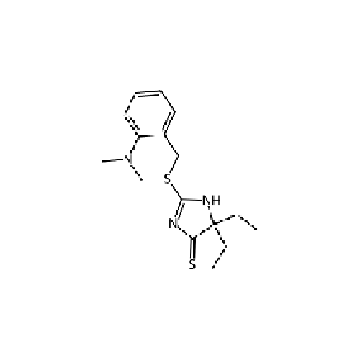 CCC1(CC)NC(SCc2ccccc2N(C)C)=NC1=S